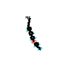 CCCCCCCc1ccc(-c2ccc(-c3cc(F)c(C(=O)Oc4cc(F)c(/C=C/C(F)(F)F)c(F)c4)c(F)c3)c(F)c2)c(F)c1